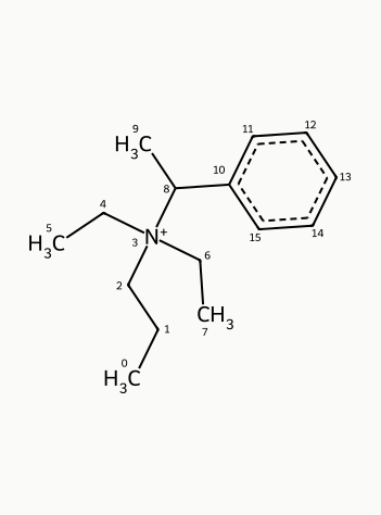 CCC[N+](CC)(CC)C(C)c1ccccc1